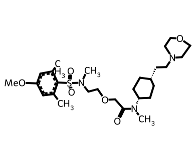 COc1cc(C)c(S(=O)(=O)N(C)CCOCC(=O)N(C)[C@H]2CC[C@@H](CCN3CCOCC3)CC2)c(C)c1